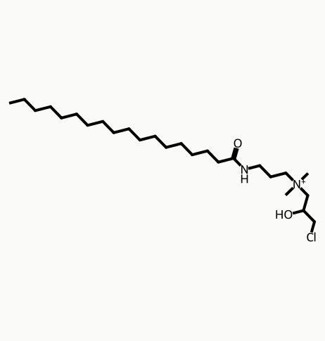 CCCCCCCCCCCCCCCCCC(=O)NCCC[N+](C)(C)CC(O)CCl